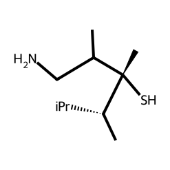 CC(C)[C@@H](C)[C@@](C)(S)C(C)CN